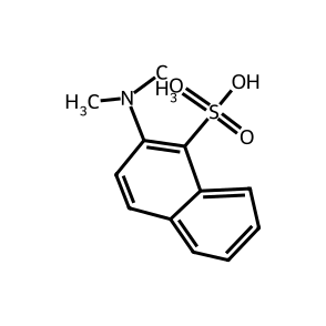 CN(C)c1ccc2ccccc2c1S(=O)(=O)O